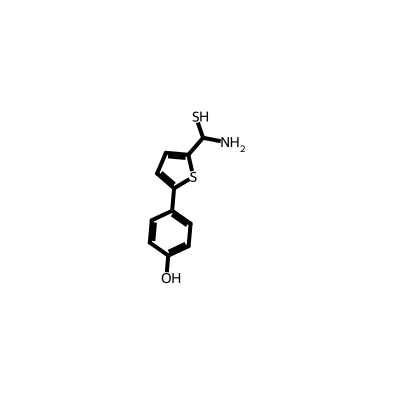 NC(S)c1ccc(-c2ccc(O)cc2)s1